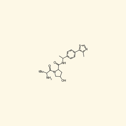 Cc1ncsc1-c1ccc(C(C)NC(=O)C2CC(O)CN2C(=O)C(N)C(C)(C)C)cc1